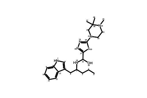 CCCC(Cc1c[nH]c2ccccc12)NC(O)c1nnc(N2CCN(C)C(C)(C)C2)s1